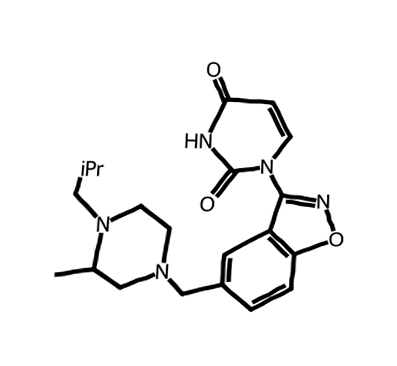 CC(C)CN1CCN(Cc2ccc3onc(-n4ccc(=O)[nH]c4=O)c3c2)CC1C